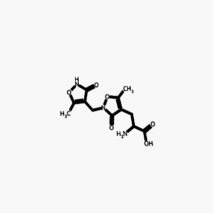 Cc1o[nH]c(=O)c1Cn1oc(C)c(CC(N)C(=O)O)c1=O